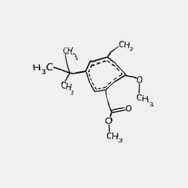 COC(=O)c1cc(C(C)(C)C)cc(C)c1OC